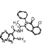 C[C@H](NC(=O)c1c(N)nn2nccnc12)c1cc2cccc(Cl)c2c(=O)n1-c1ccccc1